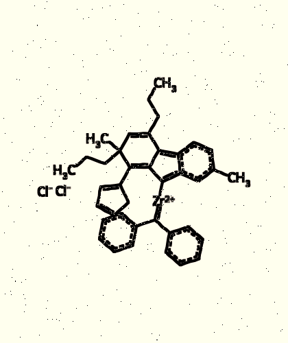 CCCC1=CC(C)(CCC)C(C2=CC=CC2)=C2[C]([Zr+2]=[C](c3ccccc3)c3ccccc3)=c3cc(C)ccc3=C12.[Cl-].[Cl-]